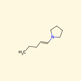 [CH2]CCC=CN1CCCC1